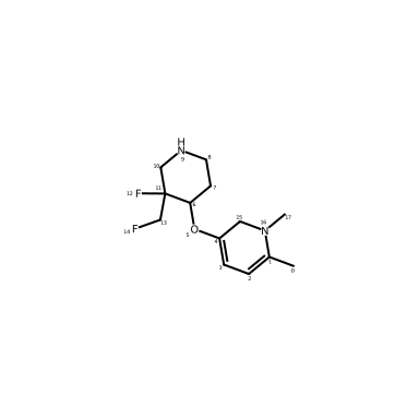 CC1=CC=C(OC2CCNCC2(F)CF)CN1C